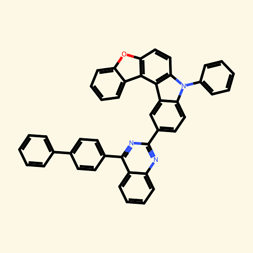 c1ccc(-c2ccc(-c3nc(-c4ccc5c(c4)c4c6c(ccc4n5-c4ccccc4)oc4ccccc46)nc4ccccc34)cc2)cc1